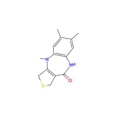 Cc1cc2c(cc1C)N(C)C1=C(CSC1)C(=O)N2